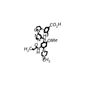 C=CC(=O)Nc1cc(Nc2cc(N3OCC[C@@H]3c3cc(F)cc(C(=O)O)c3)ncn2)c(OC)cc1N1CCN(C)CC1